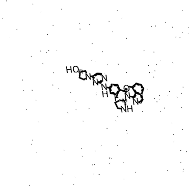 Cc1cccc2ccnc(N(C(=O)c3ccc(Nc4nccc(N5CC[C@@H](O)C5)n4)cc3F)[C@@H]3CCCNC3)c12